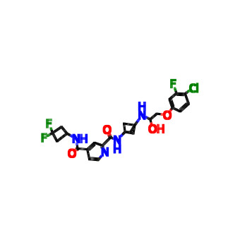 O=C(NC1CC(F)(F)C1)c1ccnc(C(=O)NC23CC(NC(O)COc4ccc(Cl)c(F)c4)(C2)C3)c1